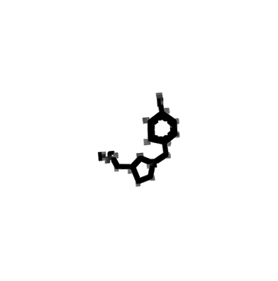 CCC1CCN(Cc2ccc(F)cc2)C1